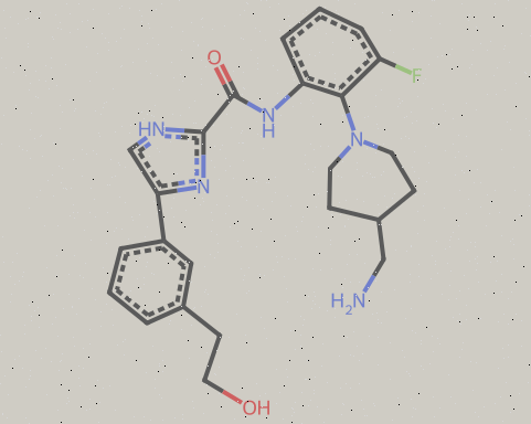 NCC1CCN(c2c(F)cccc2NC(=O)c2nc(-c3cccc(CCO)c3)c[nH]2)CC1